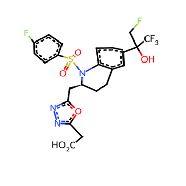 O=C(O)Cc1nnc(C[C@@H]2CCc3cc(C(O)(CF)C(F)(F)F)ccc3N2S(=O)(=O)c2ccc(F)cc2)o1